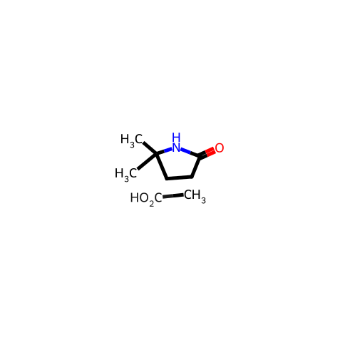 CC(=O)O.CC1(C)CCC(=O)N1